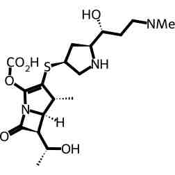 CNCC[C@@H](O)[C@@H]1C[C@H](SC2=C(OC(=O)O)N3C(=O)[C@H]([C@@H](C)O)[C@@H]3[C@H]2C)CN1